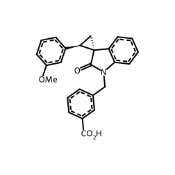 COc1cccc([C@H]2C[C@]23C(=O)N(Cc2cccc(C(=O)O)c2)c2ccccc23)c1